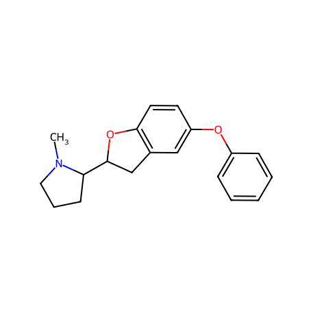 CN1CCCC1C1Cc2cc(Oc3ccccc3)ccc2O1